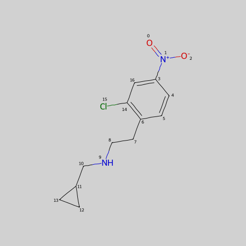 O=[N+]([O-])c1ccc(CCNCC2CC2)c(Cl)c1